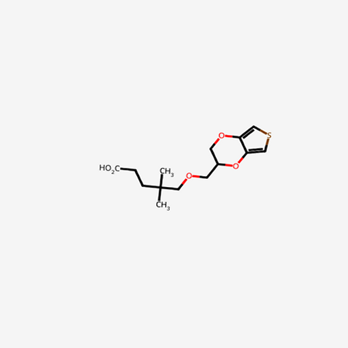 CC(C)(CCC(=O)O)COCC1COc2cscc2O1